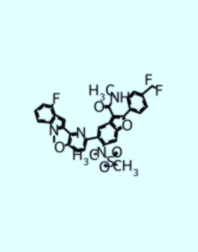 CNC(=O)c1c(-c2ccc(C(F)F)cc2)oc2cc(N(C)S(C)(=O)=O)c(-c3ccc4c(n3)-c3cc5c(F)cccc5n3CO4)cc12